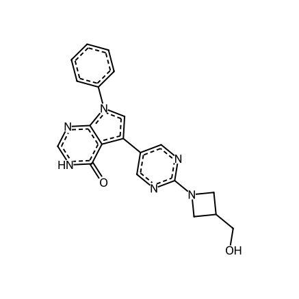 O=c1[nH]cnc2c1c(-c1cnc(N3CC(CO)C3)nc1)cn2-c1ccccc1